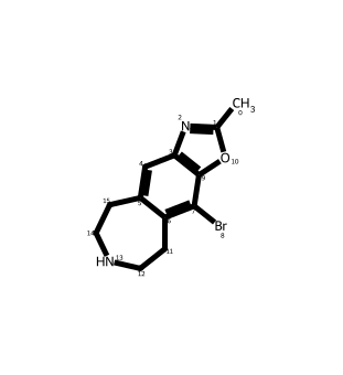 Cc1nc2cc3c(c(Br)c2o1)CCNCC3